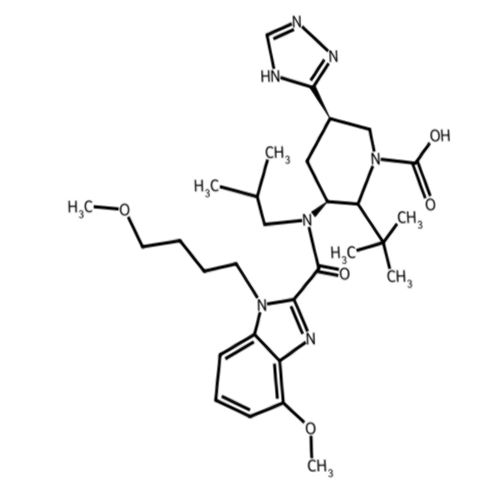 COCCCCn1c(C(=O)N(CC(C)C)[C@H]2C[C@@H](c3nnc[nH]3)CN(C(=O)O)C2C(C)(C)C)nc2c(OC)cccc21